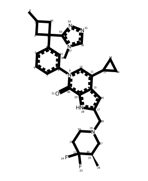 CC1CC(c2cccc(-n3cc(C4CC4)c4cc(CN5CCC(F)(F)[C@H](C)C5)[nH]c4c3=O)c2)(c2nncn2C)C1